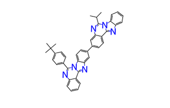 CC(C)c1nc2cc(-c3ccc4c(c3)nc3c5ccccc5nc(-c5ccc(C(C)(C)C)cc5)n43)ccc2c2nc3ccccc3n12